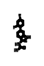 CC(C)C(=O)Nc1n[nH]c2cc(-c3ccc(F)cc3F)ccc12